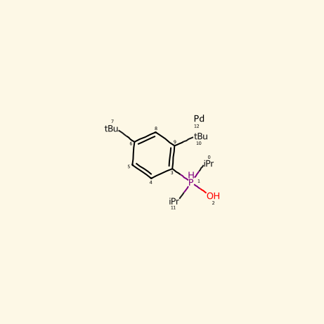 CC(C)[PH](O)(c1ccc(C(C)(C)C)cc1C(C)(C)C)C(C)C.[Pd]